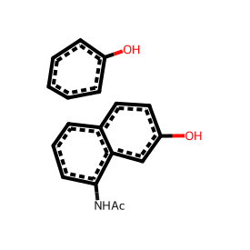 CC(=O)Nc1cccc2ccc(O)cc12.Oc1ccccc1